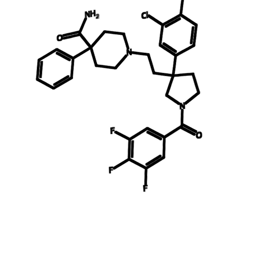 NC(=O)C1(c2ccccc2)CCN(CCC2(c3ccc(Cl)c(Cl)c3)CCN(C(=O)c3cc(F)c(F)c(F)c3)C2)CC1